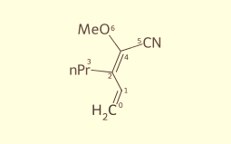 C=C/C(CCC)=C(\C#N)OC